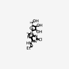 CCONc1nc(Cl)nc2c1ncn2[C@@H]1O[C@H](CO)[C@@H](O)[C@H]1O